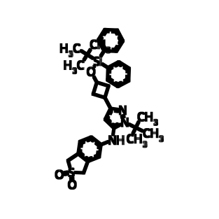 CC(C)(C)n1nc(C2CC(O[Si](c3ccccc3)(c3ccccc3)C(C)(C)C)C2)cc1Nc1ccc2c(c1)CS(=O)(=O)C2